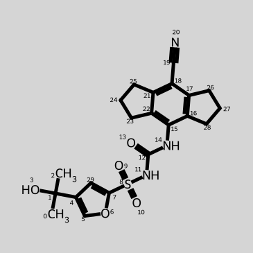 CC(C)(O)c1coc(S(=O)(=O)NC(=O)Nc2c3c(c(C#N)c4c2CCC4)CCC3)c1